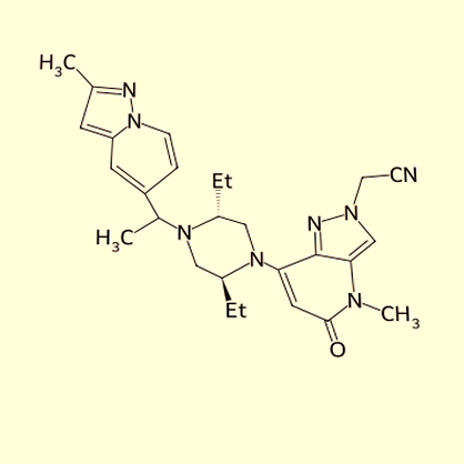 CC[C@H]1CN(C(C)c2ccn3nc(C)cc3c2)[C@H](CC)CN1c1cc(=O)n(C)c2cn(CC#N)nc12